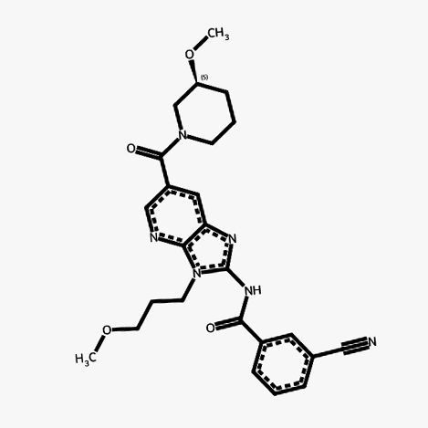 COCCCn1c(NC(=O)c2cccc(C#N)c2)nc2cc(C(=O)N3CCC[C@H](OC)C3)cnc21